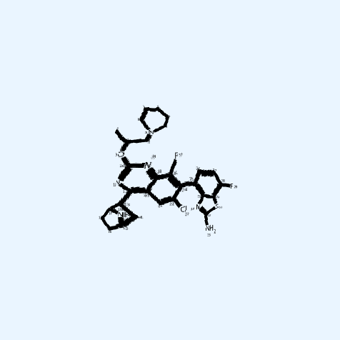 CC(CN1CCCCC1)Oc1nc(C2CC3CCC2N3)c2cc(Cl)c(-c3ccc(F)c4sc(N)nc34)c(F)c2n1